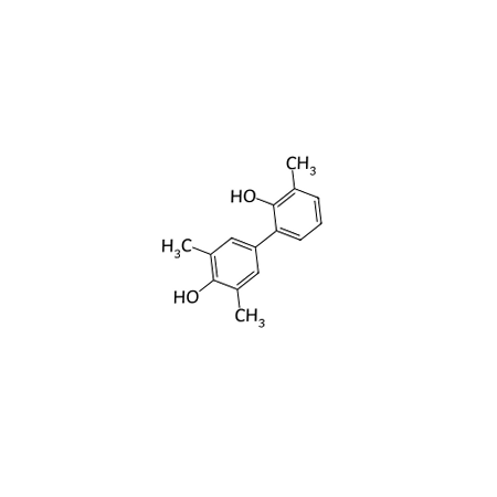 Cc1cc(-c2cccc(C)c2O)cc(C)c1O